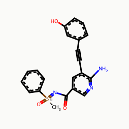 C[S@@](=O)(=NC(=O)c1cnc(N)c(C#Cc2cccc(O)c2)c1)c1ccccc1